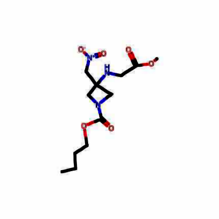 CCCCOC(=O)N1CC(C[N+](=O)[O-])(NCC(=O)OC)C1